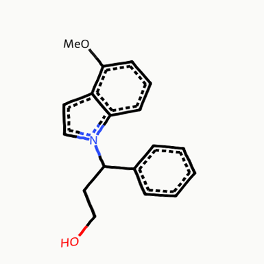 COc1cccc2c1ccn2C(CCO)c1ccccc1